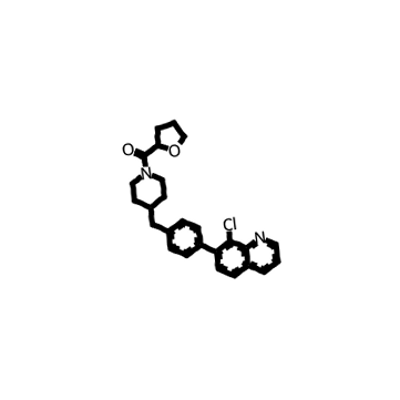 O=C(C1CCCO1)N1CCC(Cc2ccc(-c3ccc4cccnc4c3Cl)cc2)CC1